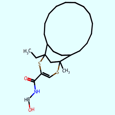 CCC12CC(C)(SC=C(C(=O)NBO)S1)C1CCCCCCCCCCCCC2CC1